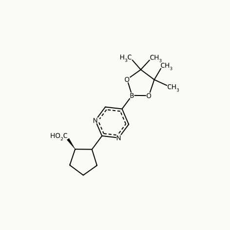 CC1(C)OB(c2cnc(C3CCC[C@H]3C(=O)O)nc2)OC1(C)C